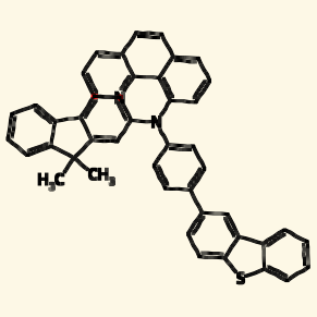 CC1(C)c2ccccc2-c2ccc(N(c3ccc(-c4ccc5sc6ccccc6c5c4)cc3)c3cccc4ccc5cccnc5c34)cc21